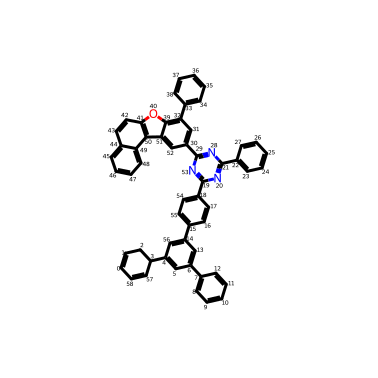 C1=CCC(c2cc(-c3ccccc3)cc(-c3ccc(-c4nc(-c5ccccc5)nc(-c5cc(-c6ccccc6)c6oc7ccc8ccccc8c7c6c5)n4)cc3)c2)C=C1